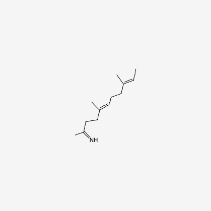 C/C=C(\C)CC/C=C(\C)CCC(C)=N